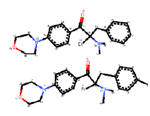 CCC(Cc1ccc(C)cc1)(C(=O)c1ccc(N2CCOCC2)cc1)N(C)C.CCC(Cc1ccccc1)(C(=O)c1ccc(N2CCOCC2)cc1)N(C)C